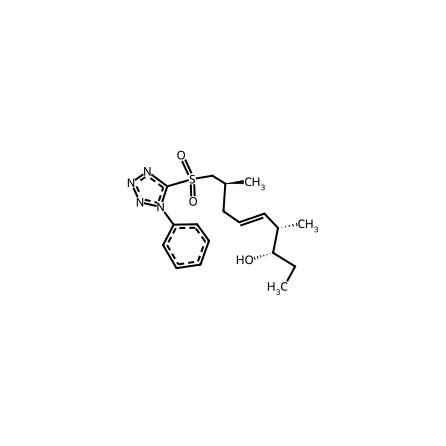 CC[C@H](O)[C@@H](C)/C=C/C[C@H](C)CS(=O)(=O)c1nnnn1-c1ccccc1